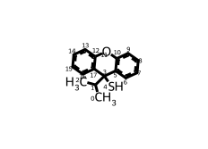 CC(C)C1(S)c2ccccc2Oc2ccccc21